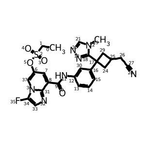 CCS(=O)(=O)Oc1cc(C(=O)Nc2cccc(C3(c4nncn4C)CC(CC#N)C3)c2)c2ncc(F)n2c1